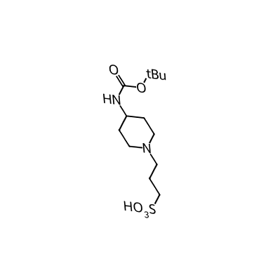 CC(C)(C)OC(=O)NC1CCN(CCCS(=O)(=O)O)CC1